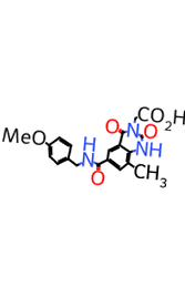 COc1ccc(CNC(=O)c2cc(C)c3[nH]c(=O)n(CC(=O)O)c(=O)c3c2)cc1